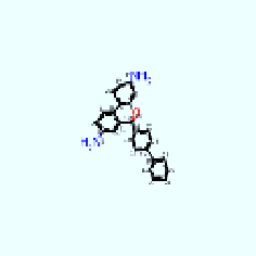 Nc1ccc(-c2ccc(N)cc2C(=O)c2ccc(-c3ccccc3)cc2)cc1